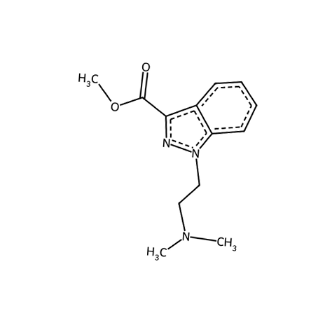 COC(=O)c1nn(CCN(C)C)c2ccccc12